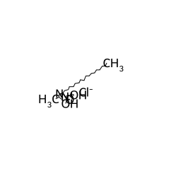 CCCCCCCCCCCCCCCCCC1=NC(C)C[N+]1(CCO)C(=O)O.[Cl-]